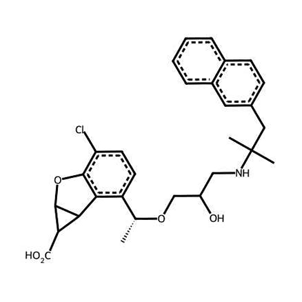 C[C@@H](OCC(O)CNC(C)(C)Cc1ccc2ccccc2c1)c1ccc(Cl)c2c1C1C(O2)C1C(=O)O